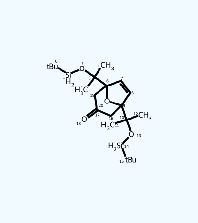 CC(C)(C)[SiH2]OC(C)(C)C12C=CC(C(C)(C)O[SiH2]C(C)(C)C)(CC(=O)C1)O2